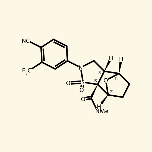 CNC(=O)[C@]12[C@H](CN(c3ccc(C#N)c(C(F)(F)F)c3)S1(=O)=O)[C@@H]1CC[C@H]2O1